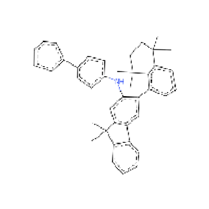 CC1(C)CCC(C)(C)c2c(-c3cc4c(cc3Nc3ccc(-c5ccccc5)cc3)C(C)(C)c3ccccc3-4)cccc21